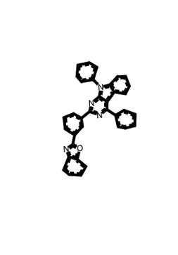 c1ccc(-c2nc(-c3cccc(-c4nc5ccccc5o4)c3)nc3c2c2ccccc2n3-c2ccccc2)cc1